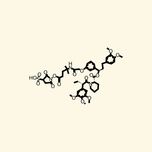 CC[C@H](C(=O)N1CCCC[C@H]1C(=O)O[C@H](CCc1ccc(OC)c(OC)c1)c1cccc(OCC(=O)NC(C)(C)CCC(=O)ON2C(=O)CC(S(=O)(=O)O)C2=O)c1)c1cc(OC)c(OC)c(OC)c1